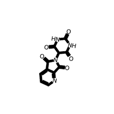 O=C1NC(=O)C(N2C(=O)c3cccnc3C2=O)C(=O)N1